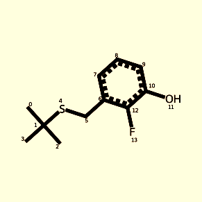 CC(C)(C)SCc1cccc(O)c1F